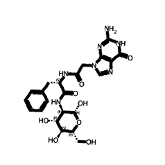 Nc1nc2c(ncn2CC(=O)N[C@@H](Cc2ccccc2)C(=O)N[C@@H]2[C@@H](O)[C@H](O)[C@@H](CO)O[C@H]2O)c(=O)[nH]1